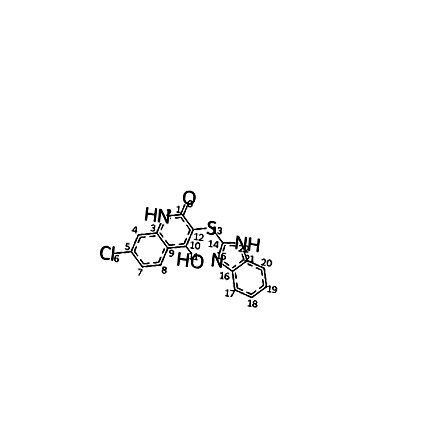 O=c1[nH]c2cc(Cl)ccc2c(O)c1Sc1nc2ccccc2[nH]1